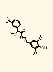 COc1cc(/C=N/NC(=O)C(OC)c2cccc(N(C)C)c2)cc(OC)c1O